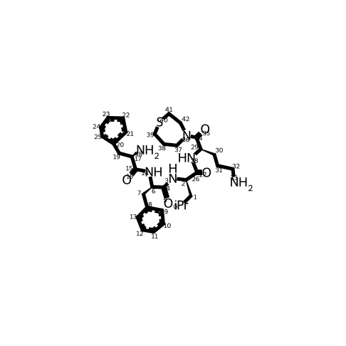 CC(C)C[C@@H](NC(=O)[C@@H](Cc1ccccc1)NC(=O)[C@H](N)Cc1ccccc1)C(=O)N[C@H](CCCN)C(=O)N1CCCSCC1